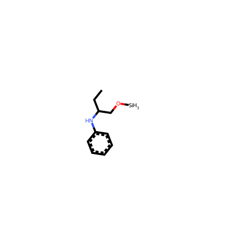 CCC(CO[SiH3])Nc1ccccc1